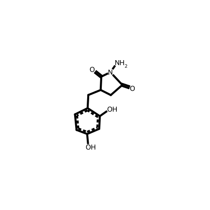 NN1C(=O)CC(Cc2ccc(O)cc2O)C1=O